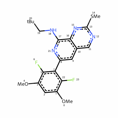 COc1cc(OC)c(F)c(-c2cc3cnc(SC)nc3c(NCC(C)(C)C)n2)c1F